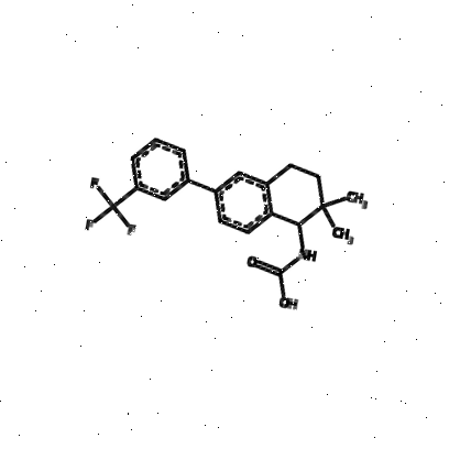 CC1(C)CCc2cc(-c3cccc(C(F)(F)F)c3)ccc2C1NC(=O)O